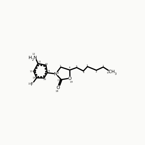 CCCCCCC1CN(c2cc(N)cc(F)c2)C(=O)O1